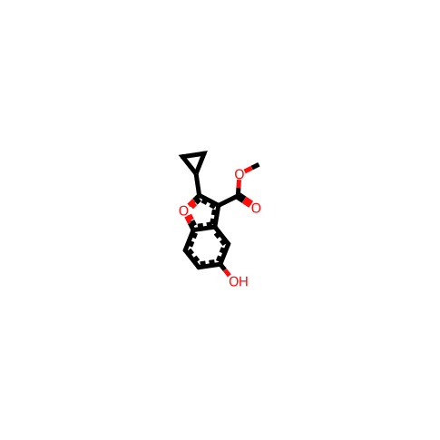 COC(=O)c1c(C2CC2)oc2ccc(O)cc12